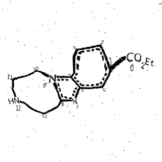 CCOC(=O)c1ccc2c(c1)nc1n2CCNC1